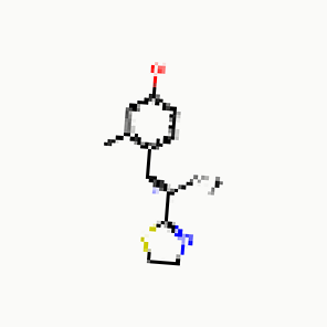 Cc1cc(O)ccc1/C=C(\C(=O)O)C1=NCCS1